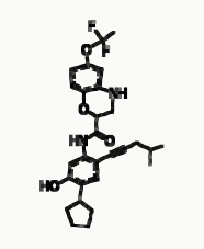 CC(C)CC#Cc1cc(C2CCCC2)c(O)cc1NC(=O)C1CNc2cc(OC(C)(F)F)ccc2O1